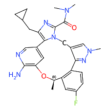 C[C@H]1Oc2cc(cnc2N)-c2c(CC3CC3)nc(C(=O)N(C)C)n2Cc2cn(C)nc2-c2ccc(F)cc21